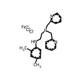 Cc1ccc(NCCN(Cc2ccccn2)Cc2ccccn2)c(C)c1.[Cl-].[Cl-].[Fe+2]